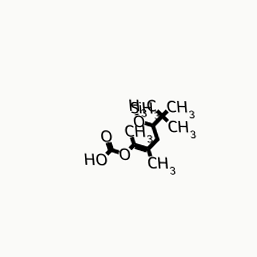 CC(CC(O[SiH3])C(C)(C)C)=C(C)OC(=O)O